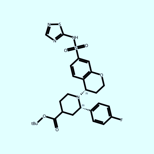 CC(C)(C)OC(=O)C1CCN([C@H]2CCOc3cc(S(=O)(=O)Nc4ncns4)ccc32)[C@H](c2ccc(F)cc2)C1